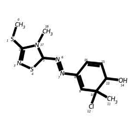 CSC1=NSC(/N=N/C2=CC(C)(Cl)C(O)C=C2)N1C